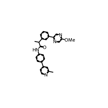 COc1cnc(-c2cccc(C(C)C(=O)Nc3ccc(-c4ccnc(C)c4)cc3)c2)cn1